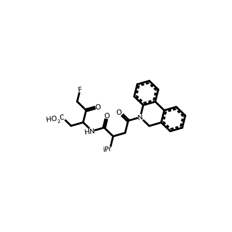 CC(C)C(CC(=O)N1Cc2ccccc2-c2ccccc21)C(=O)NC(CC(=O)O)C(=O)CF